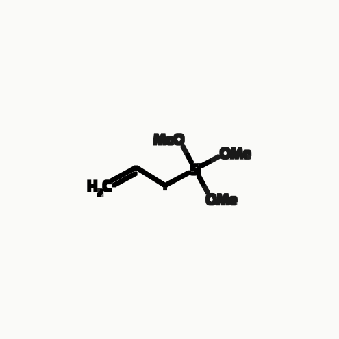 C=C[CH][Si](OC)(OC)OC